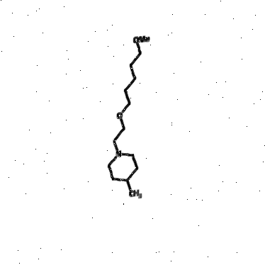 COCCCCCOCCN1CCC(C)CC1